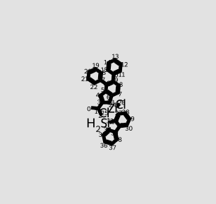 CC(C)C1=Cc2c(ccc(-c3ccccc3)c2-c2ccccc2)[CH]1[Zr]([Cl])([Cl])[c]1cccc2c1[SiH2]c1ccccc1-2